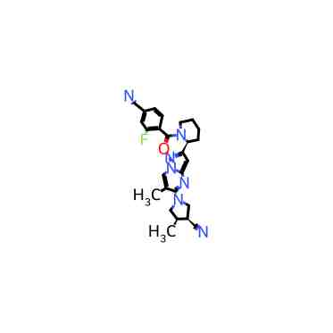 Cc1cn2nc([C@@H]3CCCCN3C(=O)c3ccc(C#N)cc3F)cc2nc1N1C[C@@H](C#N)[C@@H](C)C1